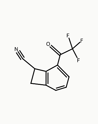 N#CC1Cc2cccc(C(=O)C(F)(F)F)c21